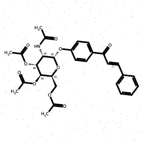 CC(=O)N[C@@H]1[C@H](Oc2ccc(C(=O)/C=C/c3ccccc3)cc2)O[C@@H](COC(C)=O)[C@@H](OC(C)=O)[C@@H]1OC(C)=O